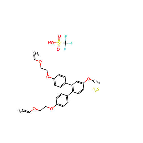 C=COCCOc1ccc(-c2ccc(OC)cc2-c2ccc(OCCOC=C)cc2)cc1.O=S(=O)(O)C(F)(F)F.S